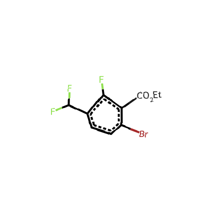 CCOC(=O)c1c(Br)ccc(C(F)F)c1F